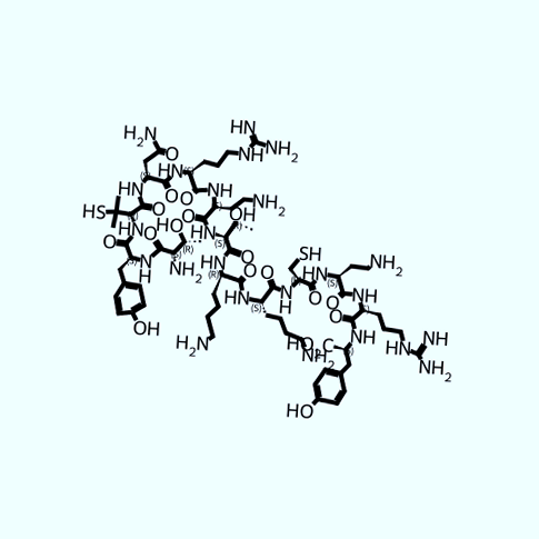 C[C@@H](O)[C@H](N)C(=O)N[C@@H](Cc1ccc(O)cc1)C(=O)N[C@H](C(=O)N[C@@H](CC(N)=O)C(=O)N[C@@H](CCCNC(=N)N)C(=O)N[C@@H](CCN)C(=O)N[C@H](C(=O)N[C@H](CCCCN)C(=O)N[C@@H](CCCCN)C(=O)N[C@@H](CS)C(=O)N[C@@H](CCN)C(=O)N[C@@H](CCCNC(=N)N)C(=O)N[C@@H](Cc1ccc(O)cc1)C(=O)O)[C@@H](C)O)C(C)(C)S